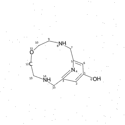 Oc1cc2nc(c1)CNCCOCCNC2